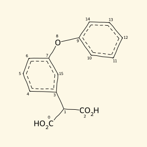 O=C(O)C(C(=O)O)c1cccc(Oc2ccccc2)c1